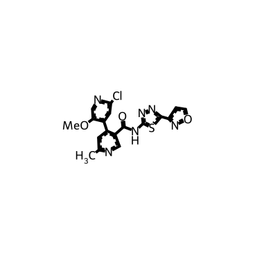 COc1cnc(Cl)cc1-c1cc(C)ncc1C(=O)Nc1nnc(-c2ccon2)s1